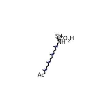 CC(=O)C/C(C)=C/CC/C(C)=C/CC/C(C)=C/CC/C(C)=C/CN[C@@H](CS)C(=O)O